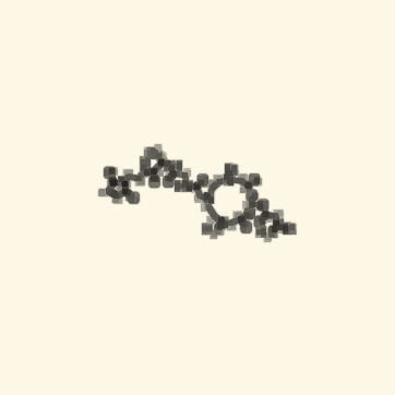 CC[C@H](C)[C@H](NC(=O)CNC(=O)CN1CCN(C)CC(=O)OC(OC(=O)CN(C)CC)OC(=O)CN(CC)CC1)C(=O)NCCN1C(=O)C=CC1=O